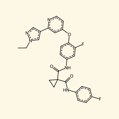 CCn1cc(-c2cc(Oc3ccc(NC(=O)C4(C(=O)Nc5ccc(F)cc5)CC4)cc3F)ccn2)cn1